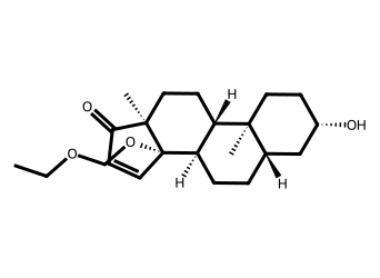 CCOCO[C@]12C=CC(=O)[C@@]1(C)CC[C@H]1[C@H]2CC[C@H]2C[C@@H](O)CC[C@@]21C